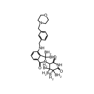 BC1(B)c2c(NCc3cccc(CN4CCOCC4)c3)cccc2C(=O)N1C1C(=O)NC(=O)C(B)(B)C1(B)B